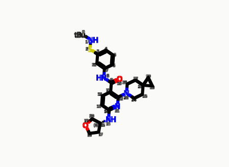 CC(C)(C)NSc1cccc(NC(=O)c2ccc(N[C@@H]3CCOC3)nc2N2CCC3(CC2)CC3)c1